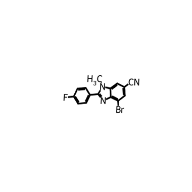 Cn1c(-c2ccc(F)cc2)nc2c(Br)cc(C#N)cc21